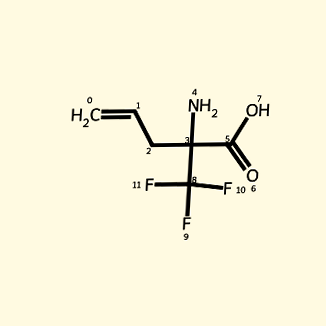 C=CCC(N)(C(=O)O)C(F)(F)F